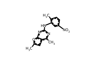 Cc1cc2c(C)nc(Nc3cc([N+](=O)[O-])ccc3C)nc2o1